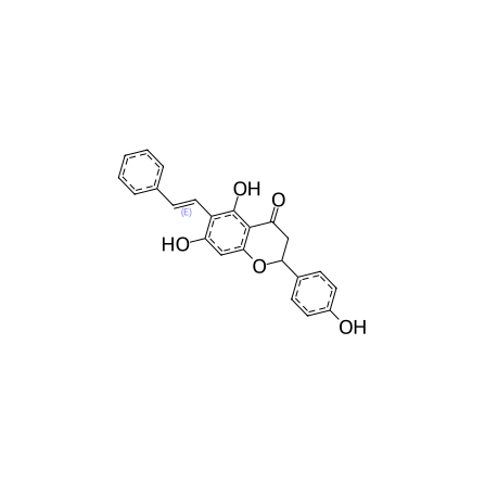 O=C1CC(c2ccc(O)cc2)Oc2cc(O)c(/C=C/c3ccccc3)c(O)c21